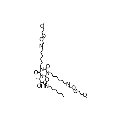 CCCCCCNOC(=O)C(C)n1c(=O)n(CCCCCC/N=C/OOCCOC)c(=O)n(CCCCCC/N=C/OOCCOC)c1=O